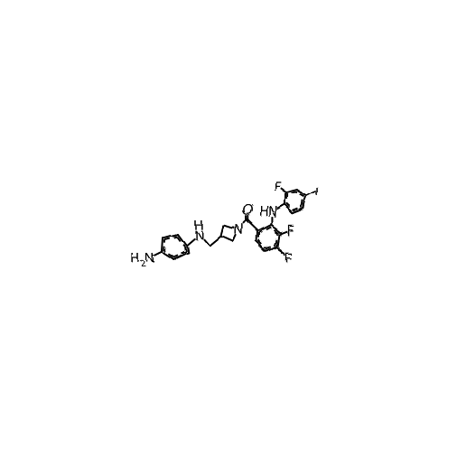 Nc1ccc(NCC2CN(C(=O)c3ccc(F)c(F)c3Nc3ccc(I)cc3F)C2)cc1